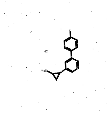 CNC1CC1c1cccc(-c2ccc(F)cc2)c1.Cl